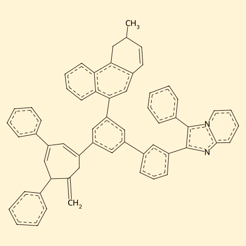 C=C1CC(c2cc(-c3cccc(-c4nc5ccccn5c4-c4ccccc4)c3)cc(-c3cc4c(c5ccccc35)CC(C)C=C4)c2)=CC(c2ccccc2)=CC1c1ccccc1